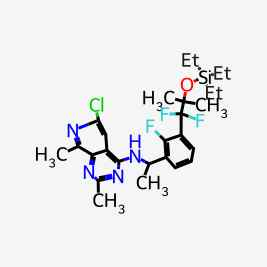 CC[Si](CC)(CC)OC(C)(C)C(F)(F)c1cccc(C(C)Nc2nc(C)nc3c(C)nc(Cl)cc23)c1F